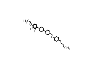 CCCCCC1CCC(OCC2CCC(C3CCC(c4ccc(OCC)c(F)c4F)CC3)CC2)CC1